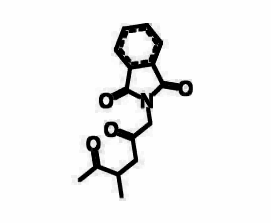 CC(=O)C(C)CC(=O)CN1C(=O)c2ccccc2C1=O